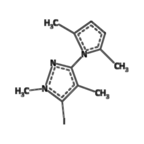 Cc1c(-n2c(C)ccc2C)nn(C)c1I